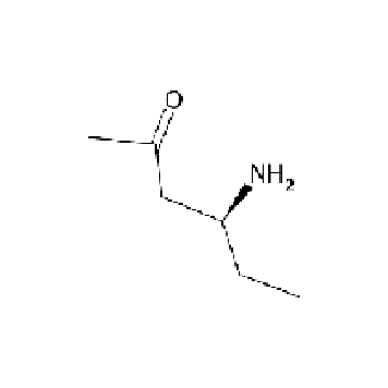 CC[C@H](N)CC(C)=O